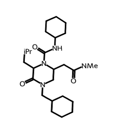 CNC(=O)CC1CN(CC2CCCCC2)C(=O)C(CC(C)C)N1C(=O)NC1CCCCC1